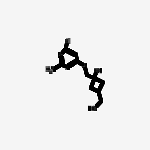 Nc1nc(Cl)cc(OCC2(O)CC(CO)C2)n1